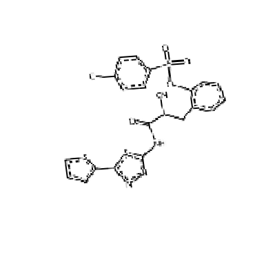 N#CC(Cc1ccccc1OS(=O)(=O)c1ccc(Cl)cc1)C(=O)Nc1nnc(-c2cccs2)s1